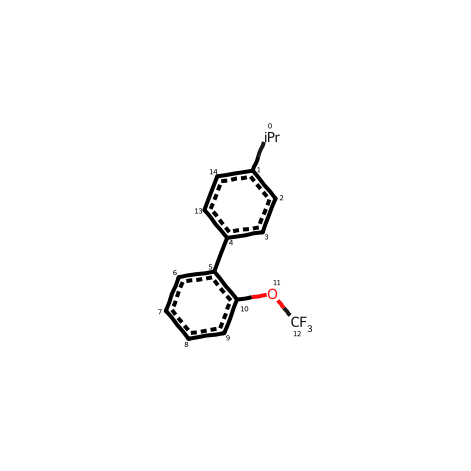 CC(C)c1ccc(-c2ccccc2OC(F)(F)F)cc1